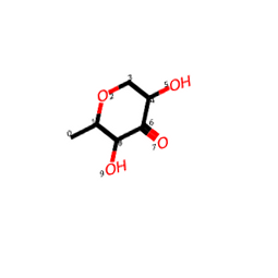 CC1OCC(O)C(=O)C1O